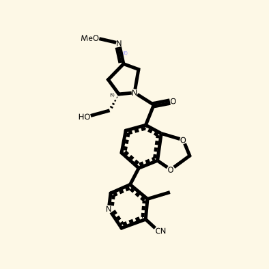 CO/N=C1\C[C@@H](CO)N(C(=O)c2ccc(-c3cncc(C#N)c3C)c3c2OCO3)C1